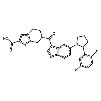 O=C(O)c1cn2c(n1)CN(C(=O)c1cnn3ccc(N4CCCC4c4cc(F)ccc4F)cc13)CC2